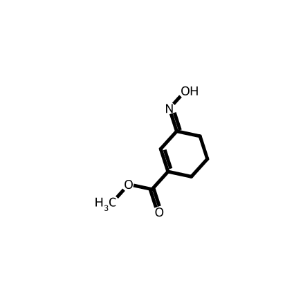 COC(=O)C1=CC(=NO)CCC1